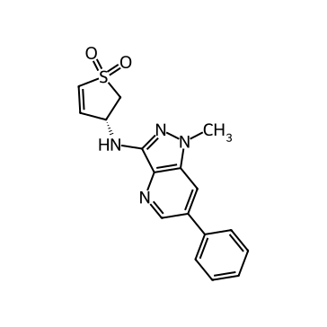 Cn1nc(N[C@@H]2C=CS(=O)(=O)C2)c2ncc(-c3ccccc3)cc21